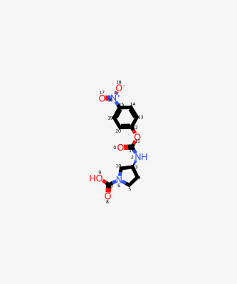 O=C(N[C@H]1CCN(C(=O)O)C1)Oc1ccc([N+](=O)[O-])cc1